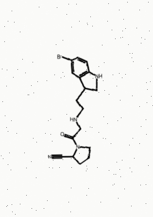 N#CC1CCCN1C(=O)CNCCC1CNc2ccc(Br)cc21